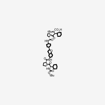 CC(C)(C)OC(=O)N[C@H](C(=O)N1CCC[C@H]1C(=O)Nc1ccc2oc(-c3ccc(NC(=O)[C@@H]4CCCN4C(=O)[C@H](c4ccccc4)N(C(=O)O)C(C)(C)C)cc3)cc2c1)c1ccccc1